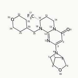 O=c1cc(N2CC3CC2CO3)nc2n1CC[C@@H](C(F)(F)F)N2CC1CCOCC1